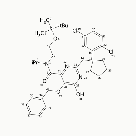 CC(C)N(CCO[Si](C)(C)C(C)(C)C)C(=O)c1nc(CC2(c3cc(Cl)ccc3Cl)CCCC2)nc(O)c1OCc1ccccc1